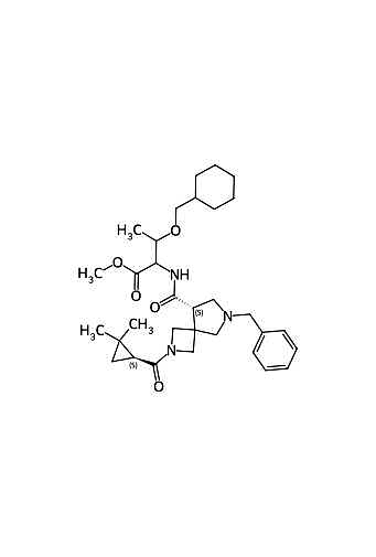 COC(=O)C(NC(=O)[C@@H]1CN(Cc2ccccc2)CC12CN(C(=O)[C@H]1CC1(C)C)C2)C(C)OCC1CCCCC1